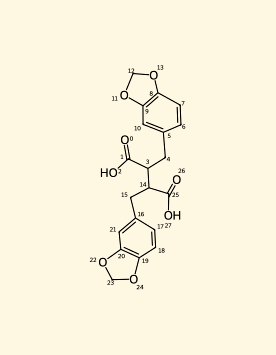 O=C(O)C(Cc1ccc2c(c1)OCO2)C(Cc1ccc2c(c1)OCO2)C(=O)O